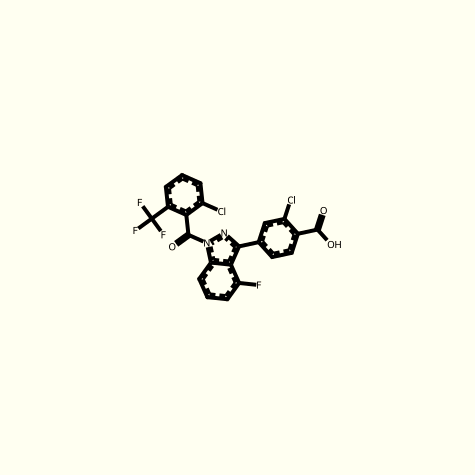 O=C(O)c1ccc(-c2nn(C(=O)c3c(Cl)cccc3C(F)(F)F)c3cccc(F)c23)cc1Cl